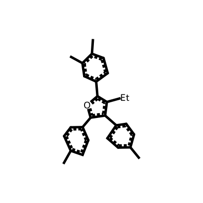 CCc1c(-c2ccc(C)c(C)c2)oc(-c2ccc(C)cc2)c1-c1ccc(C)cc1